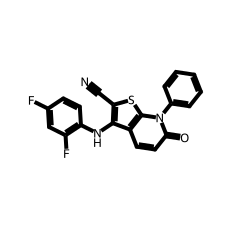 N#Cc1sc2c(ccc(=O)n2-c2ccccc2)c1Nc1ccc(F)cc1F